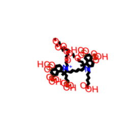 COCCOCCOCCOCCC1(C)\C(=C/C=C/C=C/C2=[N+](CCOCCOCCOC)c3ccc4c(S(=O)(=O)O)cc(S(=O)(=O)O)cc4c3C2(C)CCCS(=O)(=O)O)N(CCCCCC(=O)O)c2ccc3c(S(=O)(=O)O)cc(S(=O)(=O)O)cc3c21